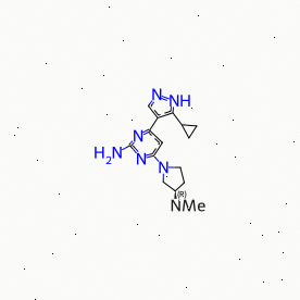 CN[C@@H]1CCN(c2cc(-c3cn[nH]c3C3CC3)nc(N)n2)C1